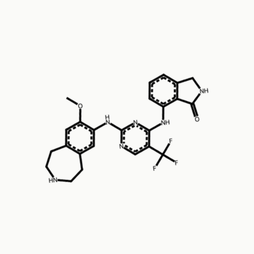 COc1cc2c(cc1Nc1ncc(C(F)(F)F)c(Nc3cccc4c3C(=O)NC4)n1)CCNCC2